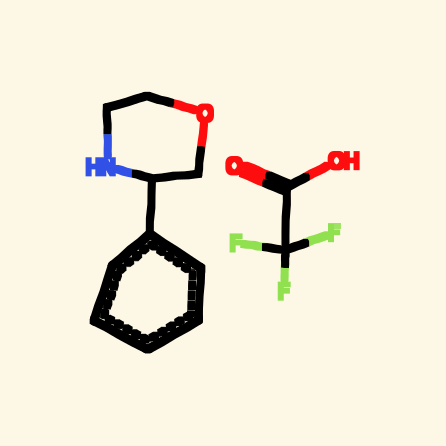 O=C(O)C(F)(F)F.c1ccc(C2COCCN2)cc1